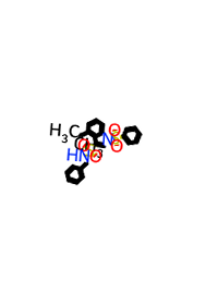 CC(C)c1cccc2c1c(S(=O)(=O)NCc1ccccc1)cn2S(=O)(=O)c1ccccc1